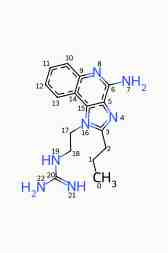 CCCc1nc2c(N)nc3ccccc3c2n1CCNC(=N)N